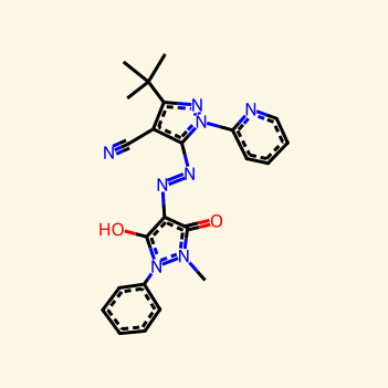 Cn1c(=O)c(N=Nc2c(C#N)c(C(C)(C)C)nn2-c2ccccn2)c(O)n1-c1ccccc1